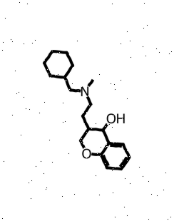 CN(CCC1COc2ccccc2C1O)CC1CCCCC1